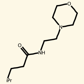 CC(C)CCC(=O)NCCN1CCOCC1